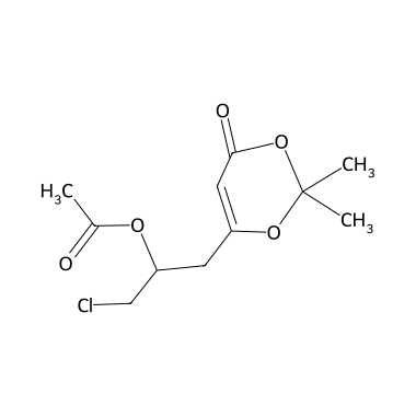 CC(=O)OC(CCl)CC1=CC(=O)OC(C)(C)O1